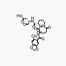 Cc1cc2c(cc1C(=O)NN1CCC(=O)N3CCC[C@@H](C(=O)N[C@H](C=O)CC(=O)O)N3C1=O)OCO2